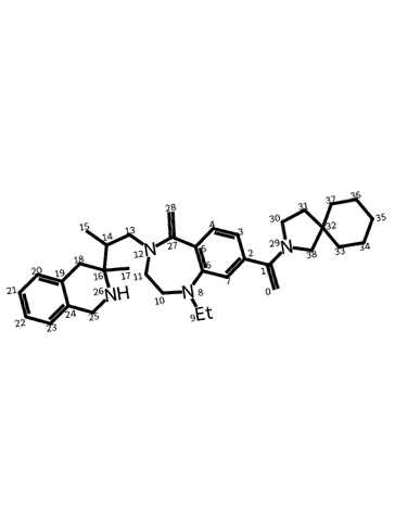 C=C(c1ccc2c(c1)N(CC)CCN(CC(C)C1(C)Cc3ccccc3CN1)C2=C)N1CCC2(CCCCC2)C1